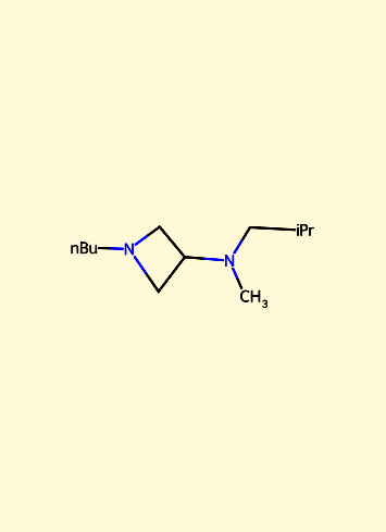 CCCCN1CC(N(C)CC(C)C)C1